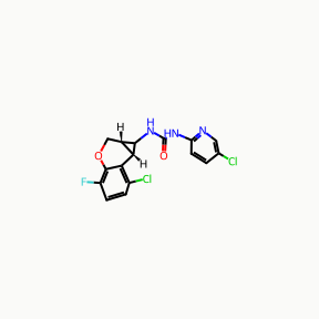 O=C(Nc1ccc(Cl)cn1)NC1[C@H]2COc3c(F)ccc(Cl)c3[C@@H]12